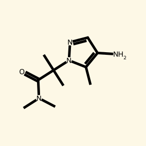 Cc1c(N)cnn1C(C)(C)C(=O)N(C)C